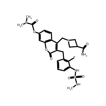 CNS(=O)(=O)Nc1cccc(Cc2c(CN3CC(C(N)=O)C3)c3ccc(OC(=O)N(C)C)cc3oc2=O)c1F